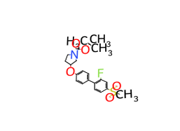 CC(C)(C)OC(=O)N1CCC(Oc2ccc(-c3ccc(S(C)(=O)=O)cc3F)cc2)C1